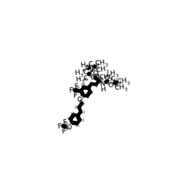 CC(CCc1ccc(OCCCc2ccc(OC(F)(F)F)cc2)c(C(F)(F)F)c1)(COP(=O)(C(C)(C)C)C(C)(C)C)NC(=O)OC(C)(C)C